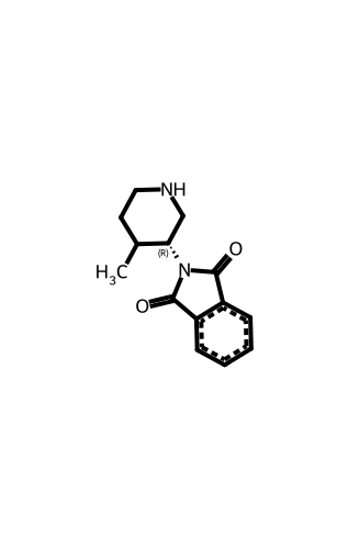 CC1CCNC[C@@H]1N1C(=O)c2ccccc2C1=O